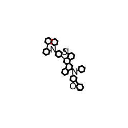 C[Si]1(C)c2cc(N(c3ccccc3)c3ccccc3-c3ccccc3)ccc2-c2cc3c4ccccc4c(N(c4ccccc4)c4ccc5oc6ccccc6c5c4)cc3c3cccc1c23